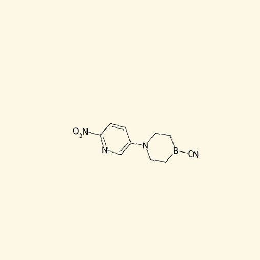 N#CB1CCN(c2ccc([N+](=O)[O-])nc2)CC1